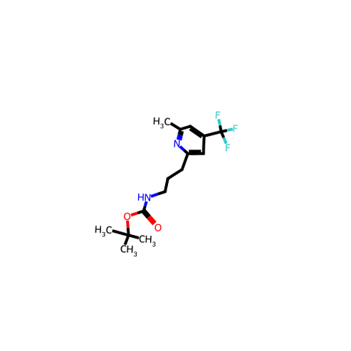 Cc1cc(C(F)(F)F)cc(CCCNC(=O)OC(C)(C)C)n1